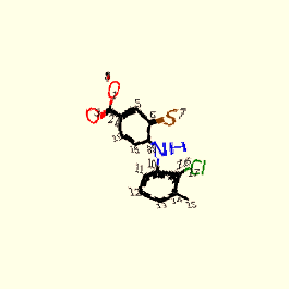 COC(=O)C1=CC(=S)C(Nc2cccc(C)c2Cl)C=C1